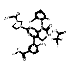 CCC(CC)N1CCN(c2nc(-c3cc(C(=O)NC(C)C)ccc3C)c3c(n2)N(c2c(F)cccc2F)C(=O)NC3)C1.O=C(O)C(F)(F)F